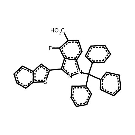 O=C(O)c1ccc2c(c(-c3cc4ccccc4s3)nn2C(c2ccccc2)(c2ccccc2)c2ccccc2)c1F